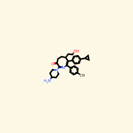 N#Cc1ccc(C2=C(\c3ccc(C4CC4)cc3)C(CCO)CCC(=O)/C(N3CCC(N)CC3)=N\2)cc1